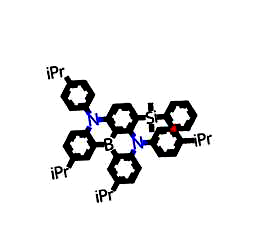 CC(C)c1ccc(N2c3ccc(C(C)C)cc3B3c4cc(C(C)C)ccc4N(c4ccc(C(C)C)cc4)c4c([Si](C)(C)c5ccccc5)ccc2c43)cc1